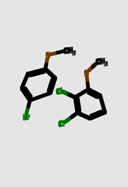 CSc1ccc(Br)cc1.CSc1cccc(Cl)c1Cl